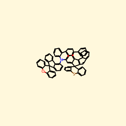 c1ccc(-c2ccc(-c3ccccc3N(c3ccc4c(c3)C3(c5ccccc5Sc5ccccc53)c3ccc5ccccc5c3-4)c3cccc4c3-c3ccccc3C43c4ccccc4Oc4ccccc43)cc2)cc1